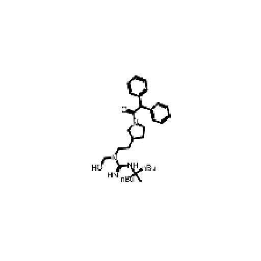 CCCCC(C)(CCCC)NC(=N)N(CO)CCC1CCN(C(=O)C(c2ccccc2)c2ccccc2)C1